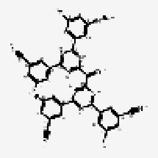 [C-]#[N+]c1cc(F)cc(-c2nc(C(=O)c3nc(-c4cc(F)cc(C#N)c4)nc(-c4cc(F)cc(C#N)c4)n3)nc(-c3cc(F)cc(C#N)c3)n2)c1